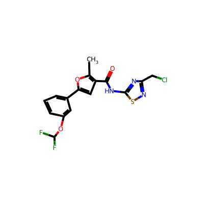 Cc1oc(-c2cccc(OC(F)F)c2)cc1C(=O)Nc1nc(CCl)ns1